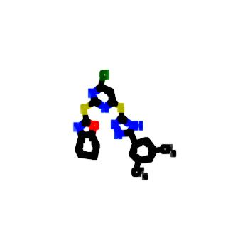 FC(F)(F)c1cc(-c2nnc(Sc3cc(Cl)nc(Sc4nc5ccccc5o4)n3)[nH]2)cc(C(F)(F)F)c1